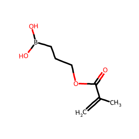 C=C(C)C(=O)OCCCB(O)O